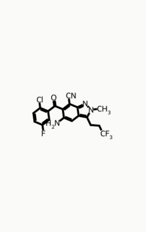 Cn1nc2c(C#N)c(C(=O)c3cc(F)ccc3Cl)c(N)cc2c1CCC(F)(F)F